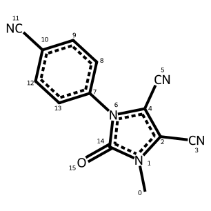 Cn1c(C#N)c(C#N)n(-c2ccc(C#N)cc2)c1=O